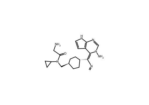 C=N/C(=C1/c2cc[nH]c2N=CN1N)[C@H]1CC[C@H](CN(C(=O)CN)C2CC2)CC1